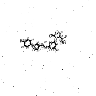 C[C@H](Nc1nc(F)cc(N2C(=O)OCC2[C@@H](C)O)n1)c1cnn(-c2ccc(F)cc2)c1